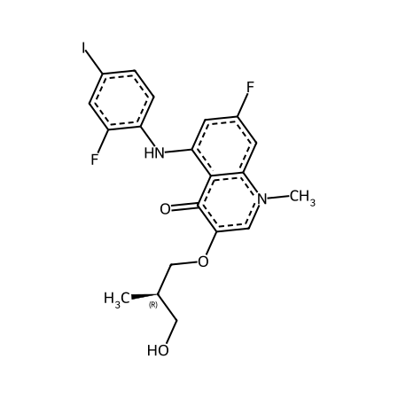 C[C@H](CO)COc1cn(C)c2cc(F)cc(Nc3ccc(I)cc3F)c2c1=O